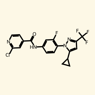 O=C(Nc1ccc(-n2nc(C(F)(F)F)cc2C2CC2)c(F)c1)c1ccnc(Cl)c1